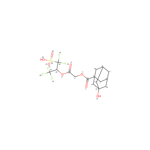 O=C(COC(=O)C12CC3CC(CC(O)(C3)C1)C2)OC(C(F)(F)F)C(F)(F)S(=O)(=O)O